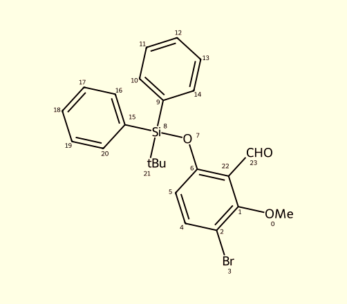 COc1c(Br)ccc(O[Si](c2ccccc2)(c2ccccc2)C(C)(C)C)c1C=O